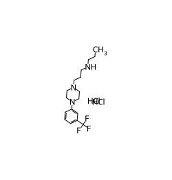 CCCNCCCN1CCN(c2cccc(C(F)(F)F)c2)CC1.Cl.Cl